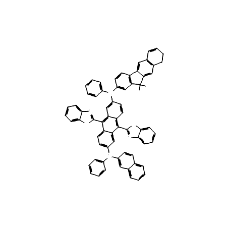 CC1(C)c2cc(N(c3ccccc3)c3ccc4c(-c5nc6ccccc6s5)c5cc(N(c6ccccc6)c6ccc7ccccc7c6)ccc5c(-c5nc6ccccc6s5)c4c3)ccc2-c2cc3c(cc21)CCC=C3